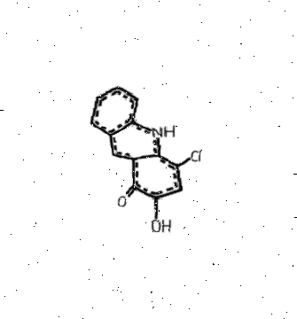 O=c1c(O)cc(Cl)c2[nH]c3ccccc3cc1-2